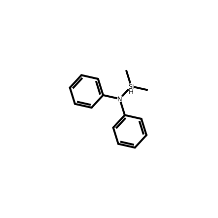 C[SiH](C)N(c1ccccc1)c1ccccc1